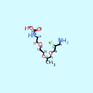 CC(COCC(F)CN)OCCOCCNC(=O)O